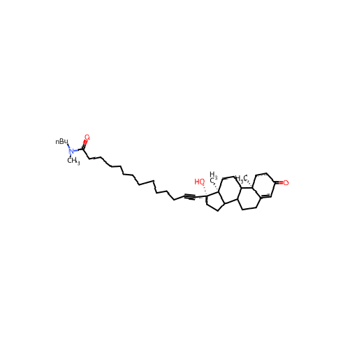 CCCCN(C)C(=O)CCCCCCCCCCCC#C[C@]1(O)CCC2C3CCC4=CC(=O)CC[C@]4(C)C3CC[C@@]21C